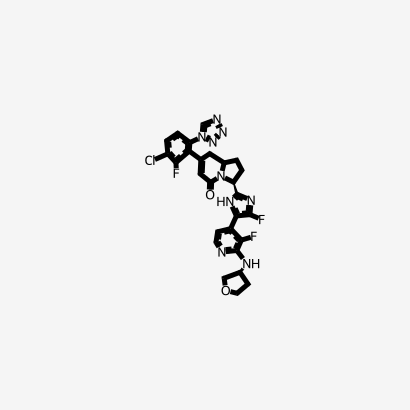 O=C1C=C(c2c(-n3cnnn3)ccc(Cl)c2F)CC2CC[C@@H](c3nc(F)c(-c4ccnc(N[C@H]5CCOC5)c4F)[nH]3)N12